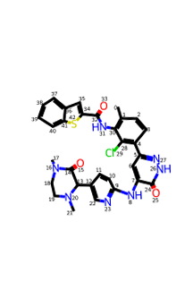 Cc1ccc(-c2cc(Nc3ccc(C4C(=O)N(C)CCN4C)cn3)c(=O)[nH]n2)c(Cl)c1NC(=O)c1cc2ccccc2s1